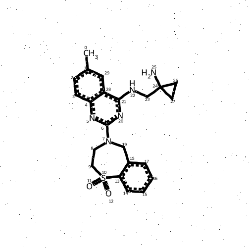 Cc1ccc2nc(N3CCS(=O)(=O)c4ccccc4C3)nc(NCC3(N)CC3)c2c1